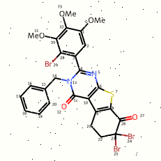 COc1cc(-c2nc3sc4c(c3c(=O)n2Cc2ccccc2)CCC(Br)(Br)C4=O)c(Br)c(OC)c1OC